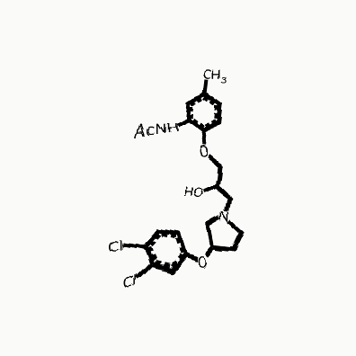 CC(=O)Nc1cc(C)ccc1OCC(O)CN1CCC(Oc2ccc(Cl)c(Cl)c2)C1